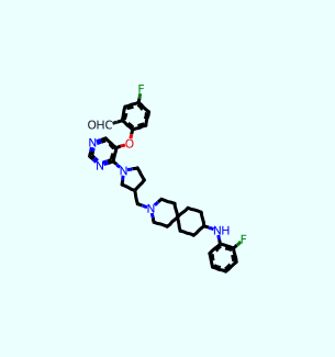 O=Cc1cc(F)ccc1Oc1cncnc1N1CCC(CN2CCC3(CCC(Nc4ccccc4F)CC3)CC2)C1